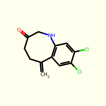 C=C1CCC(=O)CNc2cc(Cl)c(Cl)cc21